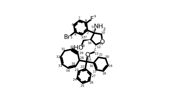 N[C@@]1(c2cc(Br)ccc2F)CO[C@H](COC(C2=CC=CCC2)(c2ccccc2)C2C#CC/C=C\C=C/2)[C@H]1CO